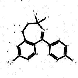 CCC1(I)CCc2cc(N)ccc2C(c2ccc(F)cc2)=N1